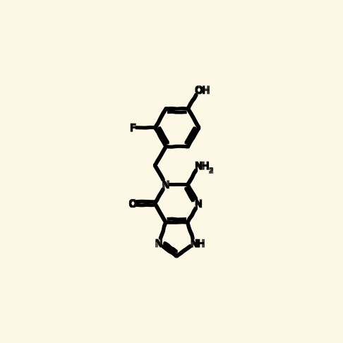 Nc1nc2[nH]cnc2c(=O)n1Cc1ccc(O)cc1F